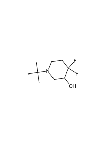 CC(C)(C)N1CCC(F)(F)C(O)C1